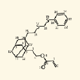 C=CC(=O)OCCC12CC3CC(C1)CC(CCSCSc1ccccc1)(C3)C2